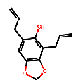 C=CCc1cc2c(c(CC=C)c1O)OCO2